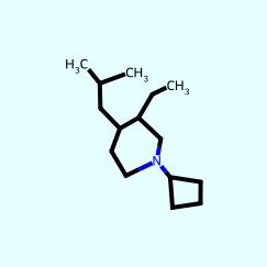 CCC1CN(C2CCC2)CCC1CC(C)C